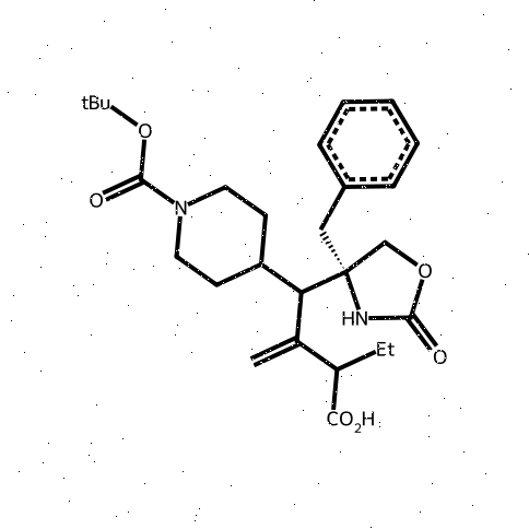 C=C(C(CC)C(=O)O)C(C1CCN(C(=O)OC(C)(C)C)CC1)[C@@]1(Cc2ccccc2)COC(=O)N1